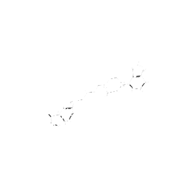 O=C1N=Cc2ccc(OCCCCN3CCN(c4cccc5c4CCO5)CC3)cc21